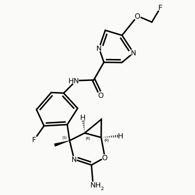 C[C@]1(c2cc(NC(=O)c3cnc(OCF)cn3)ccc2F)N=C(N)O[C@@H]2C[C@@H]21